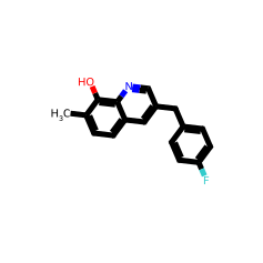 Cc1ccc2cc(Cc3ccc(F)cc3)cnc2c1O